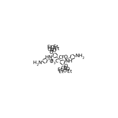 CCO[Si](OCC)(OCC)Oc1ccc(C(c2ccc(O[Si](OCC)(OCC)OCC)c(NC(=O)c3ccc(N)cc3)c2)(C(F)(F)F)C(F)(F)F)cc1NC(=O)c1ccc(N)cc1